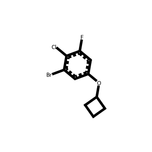 Fc1cc(OC2CCC2)cc(Br)c1Cl